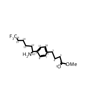 COC(=O)CCCc1ccc(C(N)CCCCC(F)(F)F)cc1